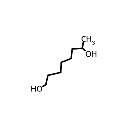 CC(O)CCCCCCO